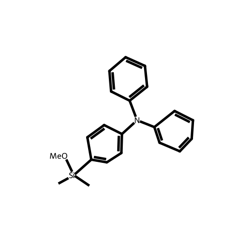 CO[Si](C)(C)c1ccc(N(c2ccccc2)c2ccccc2)cc1